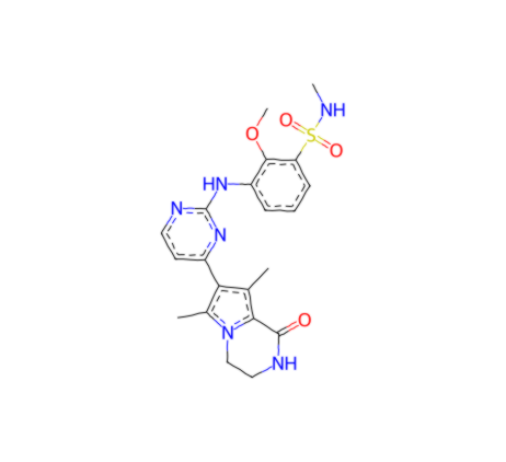 CNS(=O)(=O)c1cccc(Nc2nccc(-c3c(C)c4n(c3C)CCNC4=O)n2)c1OC